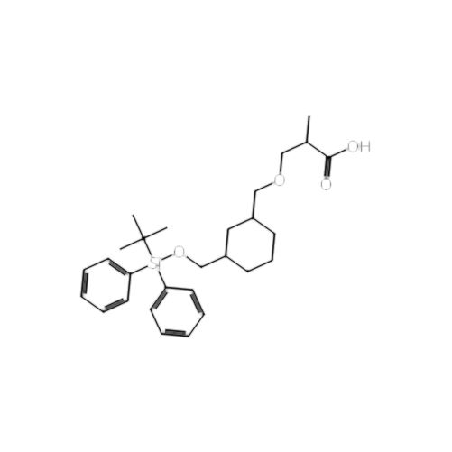 CC(COCC1CCCC(CO[Si](c2ccccc2)(c2ccccc2)C(C)(C)C)C1)C(=O)O